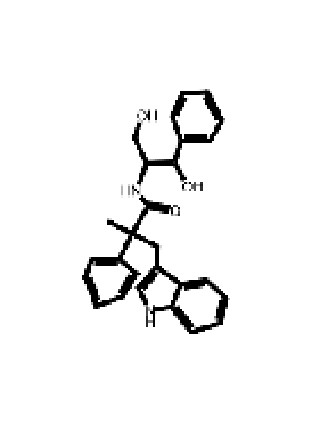 CC(Cc1c[nH]c2ccccc12)(C(=O)NC(CO)C(O)c1ccccc1)c1[c]cccc1